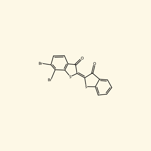 O=C1C(=C2Sc3c(ccc(Br)c3Br)C2=O)Sc2ccccc21